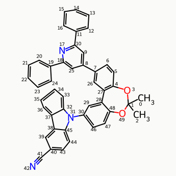 CC1(C)Oc2ccc(-c3cc(-c4ccccc4)nc(-c4ccccc4)c3)cc2-c2cc(-n3c4ccccc4c4cc(C#N)ccc43)ccc2O1